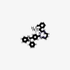 C=CC1C=CC=CC1C(=C)C1=N/C(c2ccc(-c3nc4ccccc4n3-c3ccccc3)cc2)=N\C=C\CC\C=C\1